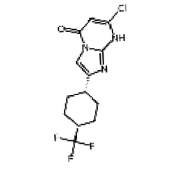 O=c1cc(Cl)[nH]c2nc([C@H]3CC[C@H](C(F)(F)F)CC3)cn12